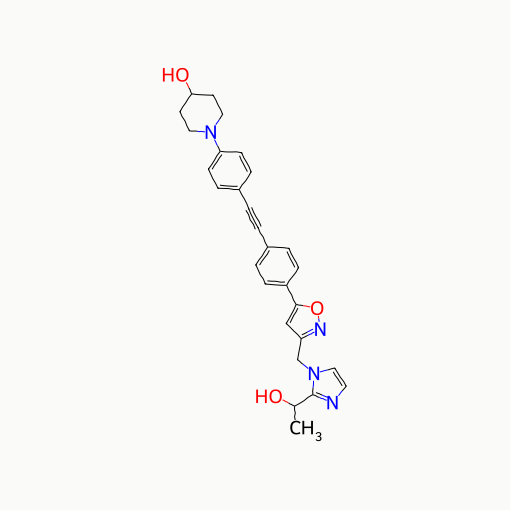 CC(O)c1nccn1Cc1cc(-c2ccc(C#Cc3ccc(N4CCC(O)CC4)cc3)cc2)on1